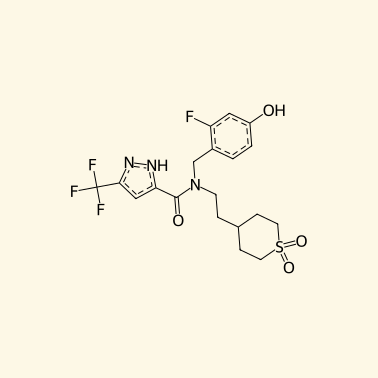 O=C(c1cc(C(F)(F)F)n[nH]1)N(CCC1CCS(=O)(=O)CC1)Cc1ccc(O)cc1F